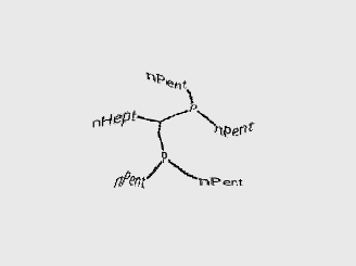 CCCCCCCC(P(CCCCC)CCCCC)P(CCCCC)CCCCC